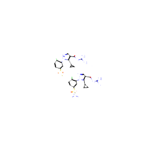 CN(C)S(=O)(=O)c1ccc(Cl)c(-n2ncc(C(=O)NC(=N)N)c2C2CC2)c1.CS(=O)(=O)c1ccc(Cl)c(-n2ncc(C(=O)NC(=N)N)c2C2CC2)c1